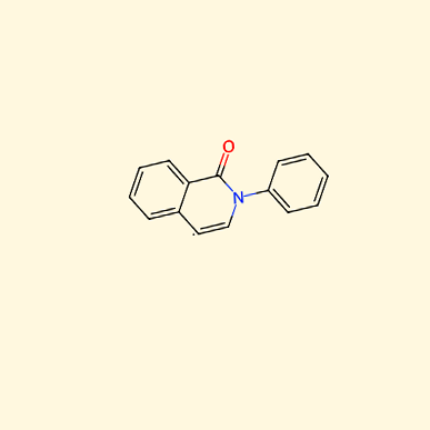 O=c1c2ccccc2[c]cn1-c1ccccc1